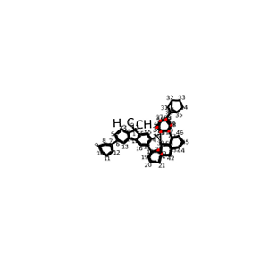 CC1(C)c2ccc(-c3ccccc3)cc2-c2cc(-c3ccccc3)c(N(c3ccc(C4CC5CCC4C5)cc3)c3cccc4cccc(C5CCCCC5)c34)cc21